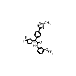 Cn1nnc(-c2ccc([C@@H](C(=O)Nc3cccc(OC(F)(F)F)c3)[C@H]3CCC(F)(F)C3)cc2)n1